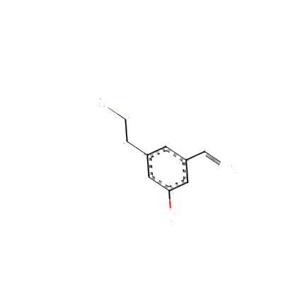 C=Cc1cc(O)cc(CCBr)c1